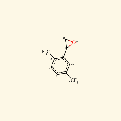 FC(F)(F)c1ccc(C(F)(F)F)c(C2CO2)c1